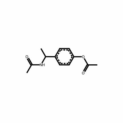 CC(=O)NC(C)c1ccc(OC(C)=O)cc1